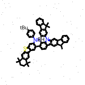 CC1c2ccccc2-c2cc3c(cc21)c1ccc(-c2cc4c(cc2Nc2ccc(C(C)(C)C)cc2)sc2cc5c(cc24)C(C)(C)CCC5(C)C)c2c1n3-c1cc3c(cc1B2)-c1ccccc1C3(C)C